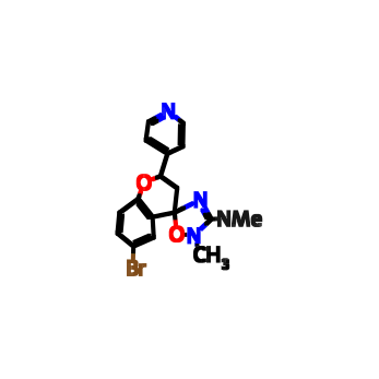 CNC1=NC2(CC(c3ccncc3)Oc3ccc(Br)cc32)ON1C